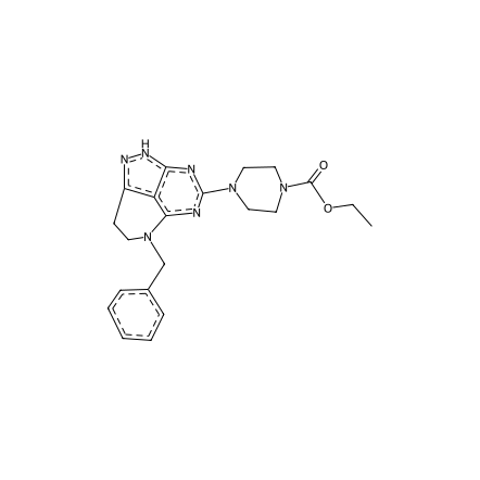 CCOC(=O)N1CCN(c2nc3c4c(n[nH]c4n2)CCN3Cc2ccccc2)CC1